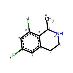 CC1NCCc2cc(F)cc(F)c21